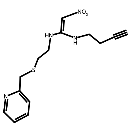 C#CCCNC(=C[N+](=O)[O-])NCCSCc1ccccn1